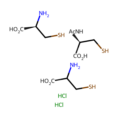 CC(=O)N[C@@H](CS)C(=O)O.Cl.Cl.NC(CS)C(=O)O.N[C@@H](CS)C(=O)O